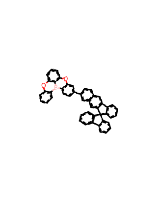 c1ccc2c(c1)Oc1cccc3c1B2c1ccc(-c2ccc4cc5c(cc4c2)C2(c4ccccc4-c4ccccc42)c2ccccc2-5)cc1O3